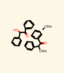 COC.COC(C(=O)c1ccccc1)c1ccccc1.O=C(c1ccccc1)C(O)c1ccccc1